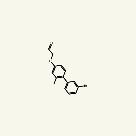 Cc1cc(OCC=O)ccc1-c1cccc(Br)c1